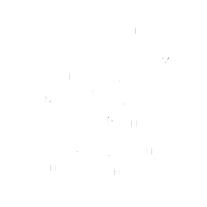 C=CC(=C)C1=C2c3c(cnc4cccc(c34)C1(C)C)C(C)(C)C(C)(CCC(CO)OC)N2C